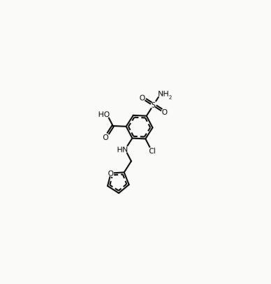 NS(=O)(=O)c1cc(Cl)c(NCc2ccco2)c(C(=O)O)c1